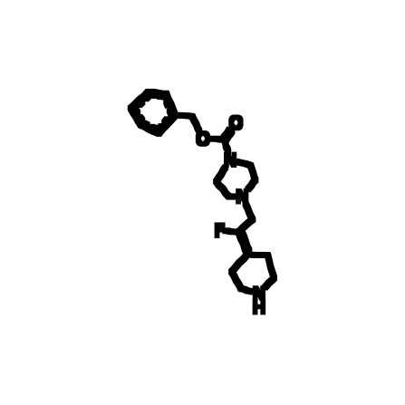 O=C(OCc1ccccc1)N1CCN(CC(F)=C2CCNCC2)CC1